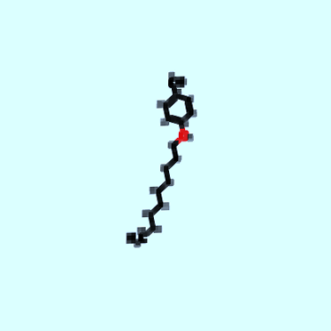 [CH]c1ccc(OCCCCCCCCC)cc1